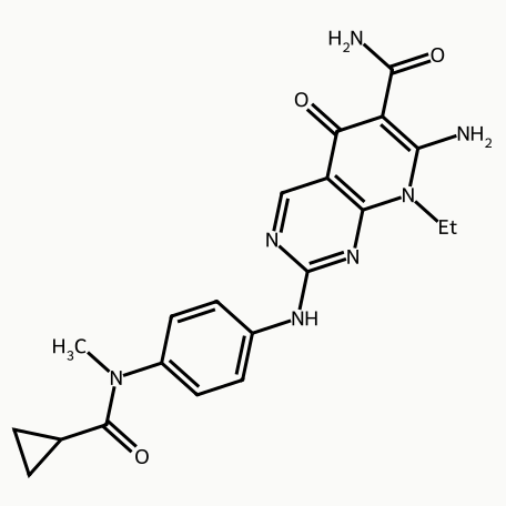 CCn1c(N)c(C(N)=O)c(=O)c2cnc(Nc3ccc(N(C)C(=O)C4CC4)cc3)nc21